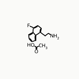 CC(=O)O.NCCc1ccc(F)c2ccccc12